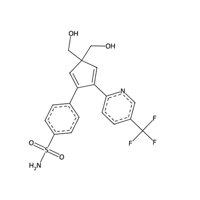 NS(=O)(=O)c1ccc(C2=CC(CO)(CO)C=C2c2ccc(C(F)(F)F)cn2)cc1